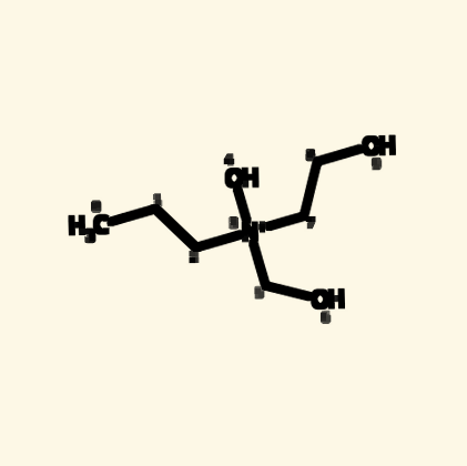 CCC[N+](O)(CO)CCO